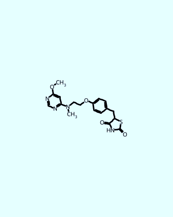 COc1cc(N(C)CCOc2ccc(CC3SC(=O)NC3=O)cc2)ncn1